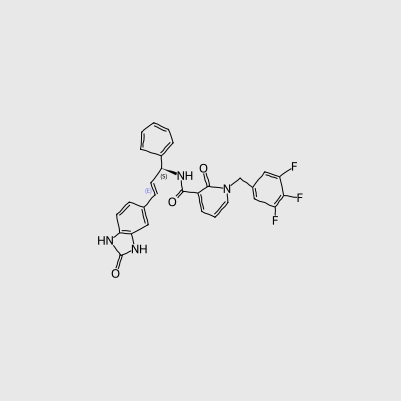 O=C(N[C@@H](/C=C/c1ccc2[nH]c(=O)[nH]c2c1)c1ccccc1)c1cccn(Cc2cc(F)c(F)c(F)c2)c1=O